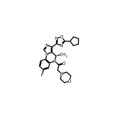 C[C@@H]1c2c(-c3noc(C4CCCC4)n3)ncn2-c2ccc(F)cc2N1C(=O)CN1CCOCC1